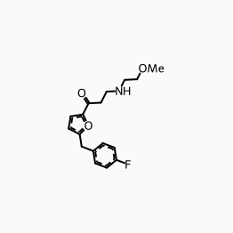 COCCNCCC(=O)c1ccc(Cc2ccc(F)cc2)o1